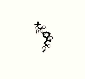 CCOC(=O)Cc1coc2ccc(NC(=O)OC(C)(C)C)cc12